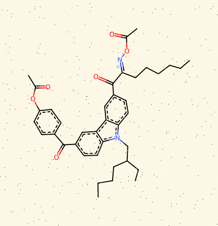 CCCCCC/C(=N\OC(C)=O)C(=O)c1ccc2c(c1)c1cc(C(=O)c3ccc(OC(C)=O)cc3)ccc1n2CC(CC)CCCC